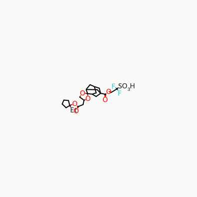 CCC1(OC(=O)CC2COC3(O2)C2CC4CC3CC(C(=O)OCC(F)(F)S(=O)(=O)O)(C4)C2)CCCC1